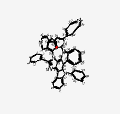 c1ccc(-c2nc3c4c5ccccc5n(-c5ccccc5)c4c4c5ccccc5n(-c5nc(-c6ccncc6)cc(-c6ccncc6)n5)c4c3n2-c2ccccc2)cc1